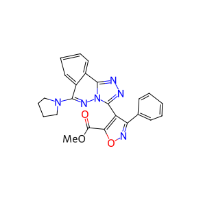 COC(=O)c1onc(-c2ccccc2)c1-c1nnc2c3ccccc3c(N3CCCC3)nn12